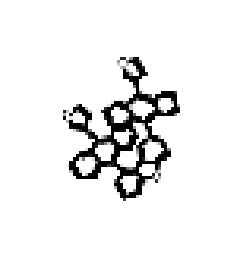 c1cc(-c2c3ccccc3c(-c3ccoc3)c3ccccc23)c2c(c1)oc1ccc(-c3c4ccccc4c(-c4ccoc4)c4ccccc34)cc12